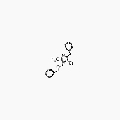 CCc1c(Sc2ccccc2)nc(C)n1COCc1ccccc1